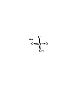 [Au].[O-][Cl+3]([O-])([O-])O